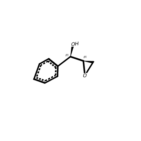 O[C@H](c1ccccc1)[C@H]1CO1